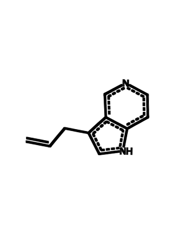 C=CCc1c[nH]c2ccncc12